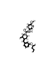 CCCC(C)Oc1cccc(C=C2CCN(C(=O)Nc3cnc(OC)cn3)CC2C)c1